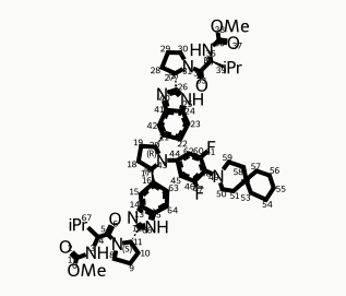 COC(=O)NC(C(=O)N1CCC[C@H]1c1nc2cc([C@H]3CC[C@H](c4ccc5[nH]c([C@@H]6CCCN6C(=O)[C@@H](NC(=O)OC)C(C)C)nc5c4)N3c3cc(F)c(N4CCC5(CCCCC5)CC4)c(F)c3)ccc2[nH]1)C(C)C